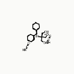 C1CCC(CC2CCCCC2)CC1.CCC(CO)(CO)CO.N=C=O.N=C=O